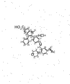 CC(=O)N(C)c1ccc(N2CCOCC2)c(COc2ccc(-c3c(-c4ccccc4)c4sc(C(=O)O)cc4n3C)cc2)c1.Cl